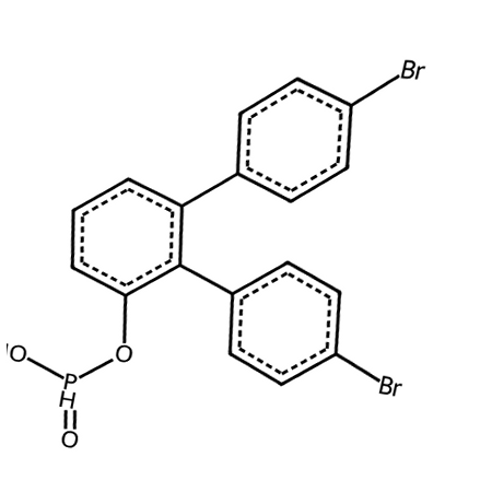 O=[PH](O)Oc1cccc(-c2ccc(Br)cc2)c1-c1ccc(Br)cc1